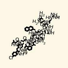 CCC[C@H](NC(=O)[C@H](Cc1ccc2ccccc2c1)NC(=O)S[C@H](NC(=O)[C@@H](NC(=O)[C@H](Cc1c[nH]c2ccccc12)NC(=O)[C@H](CCCCN)CNC(=O)[C@H](NC(=O)[C@@H](C)Cc1c[nH]c2cc(Cl)ccc12)C(C)C)C(C)C)C(N)=O)C(=O)N[C@@H](CO)C(=O)NC(=O)N[C@@H](CCCNC(=N)N)C(=O)N[C@@H](CC(N)=O)C(N)=O